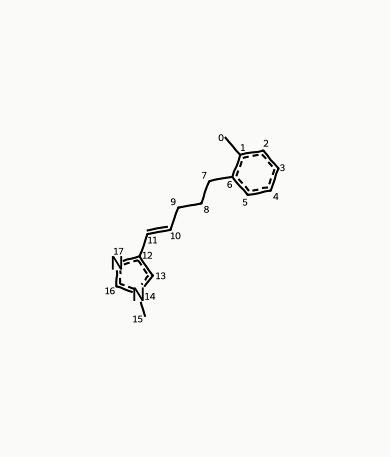 Cc1ccccc1CCCC=Cc1cn(C)cn1